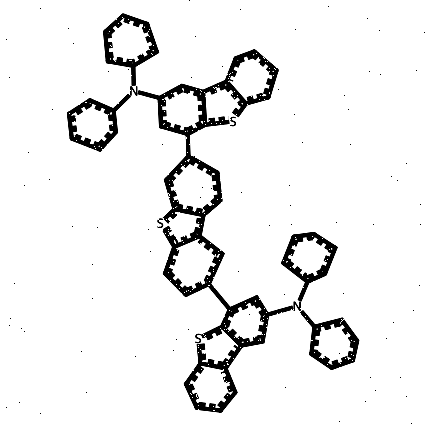 c1ccc(N(c2ccccc2)c2cc(-c3ccc4c(c3)sc3ccc(-c5cc(N(c6ccccc6)c6ccccc6)cc6c5sc5ccccc56)cc34)c3sc4ccccc4c3c2)cc1